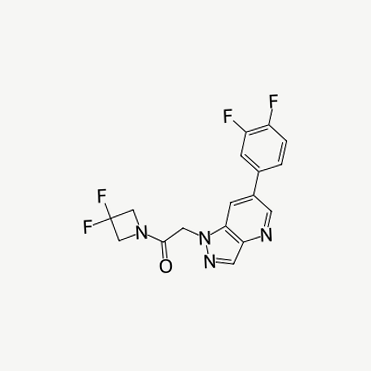 O=C(Cn1ncc2ncc(-c3ccc(F)c(F)c3)cc21)N1CC(F)(F)C1